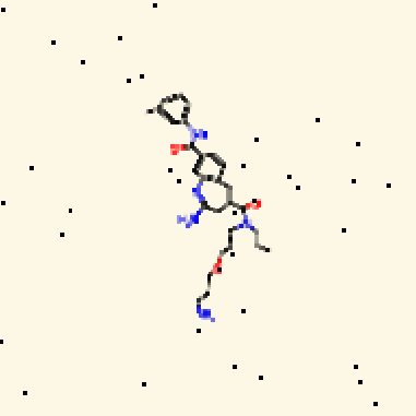 CCCN(CCCOCCCN)C(=O)C1=Cc2ccc(C(=O)Nc3cccc(C)c3)cc2N=C(N)C1